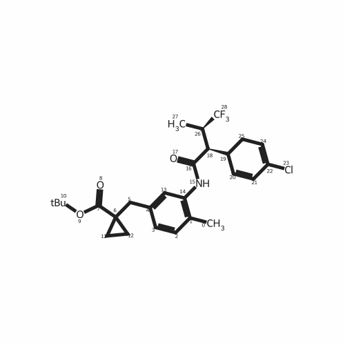 Cc1ccc(CC2(C(=O)OC(C)(C)C)CC2)cc1NC(=O)[C@H](C1C=CC(Cl)=CC1)[C@@H](C)C(F)(F)F